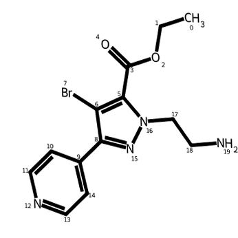 CCOC(=O)c1c(Br)c(-c2ccncc2)nn1CCN